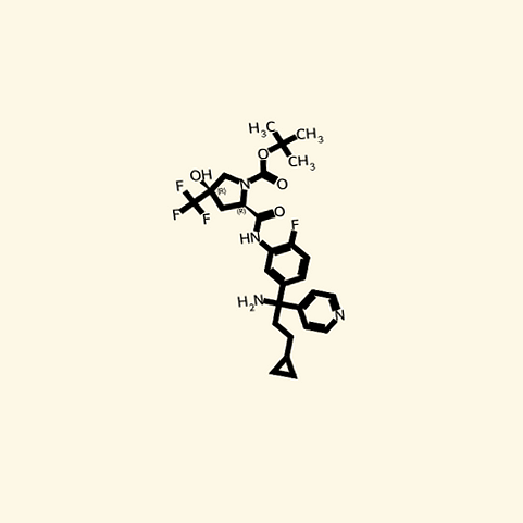 CC(C)(C)OC(=O)N1C[C@@](O)(C(F)(F)F)C[C@@H]1C(=O)Nc1cc(C(N)(CCC2CC2)c2ccncc2)ccc1F